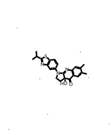 Cc1cc2c(cc1C)C(=O)C1(O)CCN(c3ccc4sc(C(C)C)nc4c3)C1=N2